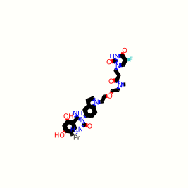 CC(C)c1cc(C(=N)N(C(N)=O)c2ccc3c(ccn3CCOCCN(C)C(=O)CCn3cc(F)c(=O)[nH]c3=O)c2)c(O)cc1O